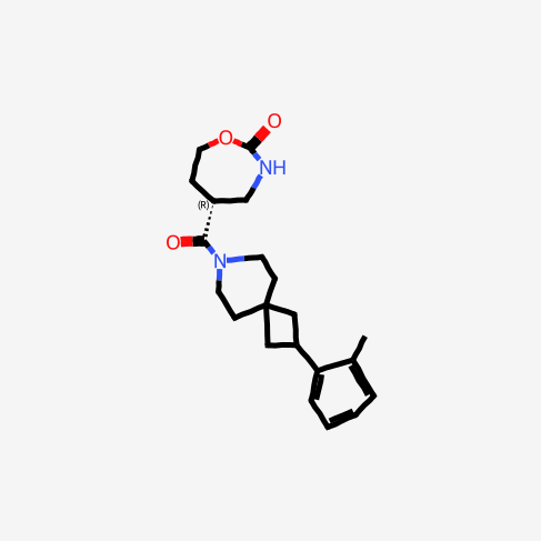 Cc1ccccc1C1CC2(CCN(C(=O)[C@@H]3CCOC(=O)NC3)CC2)C1